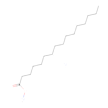 CCCCCCCCCCCCCCCC(=O)ON.N